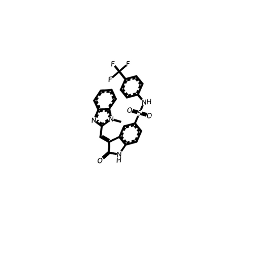 Cn1c(C=C2C(=O)Nc3ccc(S(=O)(=O)Nc4ccc(C(F)(F)F)cc4)cc32)nc2ccccc21